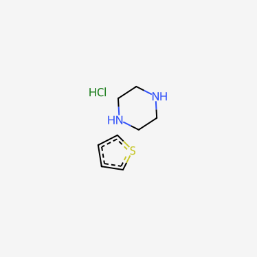 C1CNCCN1.Cl.c1ccsc1